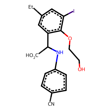 CCc1cc(I)c(OCCO)c(C(Nc2ccc(C#N)cc2)C(=O)O)c1